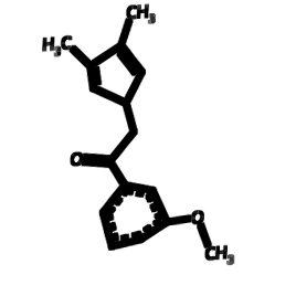 COc1cccc(C(=O)CC2C=C(C)C(C)=C2)c1